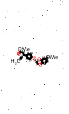 CC#C[C@@H](CC(=O)OC)c1ccc(OC[C@H]2COc3ccc(OC)cc3O2)cc1